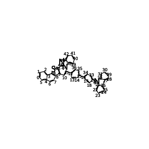 c1ccc2c(c1)ccc1c3cc(-c4ccc(-c5ccc(-n6c7ccccc7c7ccccc76)cc5)cc4)n4c5ccccc5nc4c3sc21